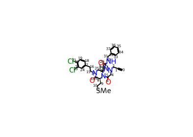 C#CCN1CC(=O)N2[C@@H](CCSC)C(=O)N(CCc3ccc(Cl)c(Cl)c3)C[C@@H]2N1C(=O)NCc1ccccc1